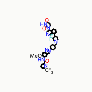 COc1cc2nn(C3CCC(CN4CCC(c5cccc6c(N7CCC(=O)NC7=O)cncc56)C(F)(F)C4)CC3)cc2cc1NC(=O)c1cccc(C(F)(F)F)n1